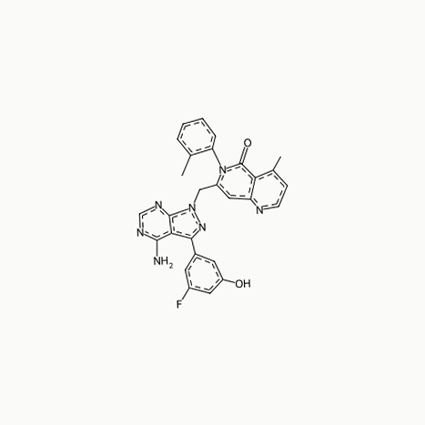 Cc1ccccc1-n1c(Cn2nc(-c3cc(O)cc(F)c3)c3c(N)ncnc32)cc2nccc(C)c2c1=O